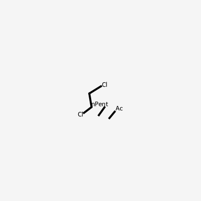 CC(C)=O.CCCCCC.ClCCCl